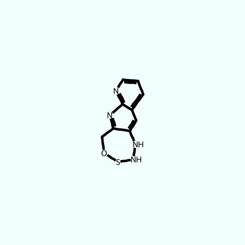 c1cnc2nc3c(cc2c1)NNSOC3